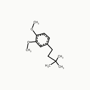 COc1ccc(CCC(C)(C)C)cc1OC